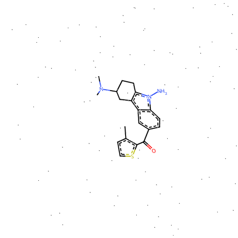 Cc1ccsc1C(=O)c1ccc2c(c1)c1c(n2N)CCC(N(C)C)C1